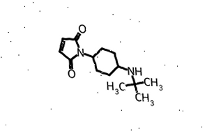 CC(C)(C)NC1CCC(N2C(=O)C=CC2=O)CC1